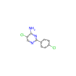 Nc1nc(-c2ccc(Cl)cc2)n[c]c1Cl